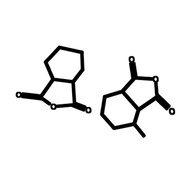 CC1CCCC2C(=O)OC(=O)C12.O=C1OC(=O)C2CCCCC12